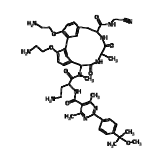 COC(C)(C)c1ccc(-c2nc(C)c(C(=O)NC(CCN)C(=O)N(C)C3C(=O)NC(C)C(=O)NC(C(=O)NCC#N)Cc4ccc(OCCN)c(c4)-c4cc3ccc4OCCN)c(C)n2)cc1